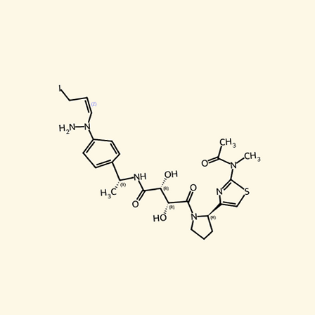 CC(=O)N(C)c1nc([C@H]2CCCN2C(=O)[C@H](O)[C@@H](O)C(=O)N[C@H](C)c2ccc(N(N)/C=C\CI)cc2)cs1